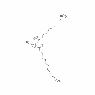 CCCCCCCCCCCCCCCCCCCCC(=O)N1CC(O)S1(CO)COCCCCCCCCCCCCCCCCCCC